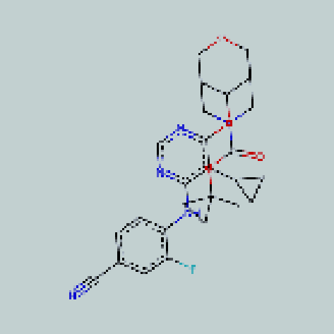 CC1(OC(=O)N2CC3COCC(C2)C3Oc2ncnc(Nc3ccc(C#N)cc3F)c2C2CC2)CC1